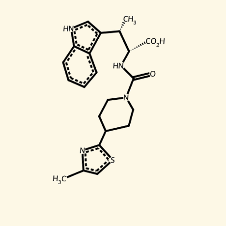 Cc1csc(C2CCN(C(=O)N[C@@H](C(=O)O)[C@@H](C)c3c[nH]c4ccccc34)CC2)n1